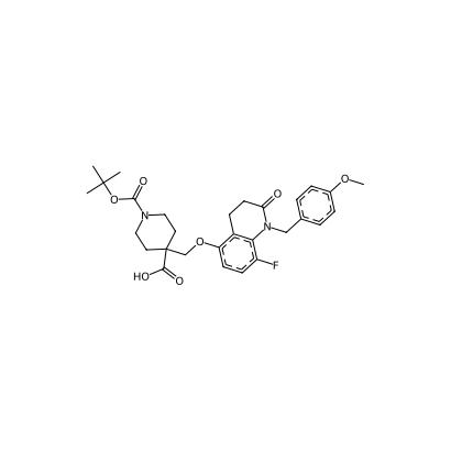 COc1ccc(CN2C(=O)CCc3c(OCC4(C(=O)O)CCN(C(=O)OC(C)(C)C)CC4)ccc(F)c32)cc1